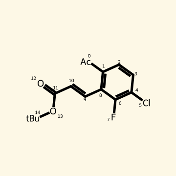 CC(=O)c1ccc(Cl)c(F)c1C=CC(=O)OC(C)(C)C